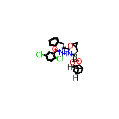 CC1(C)C2C[C@H]1C[C@H]1OB([C@H](CC3CC3)NC(=O)[C@H](Cc3ccccc3)NC(=O)c3cc(Cl)ccc3Cl)OC21